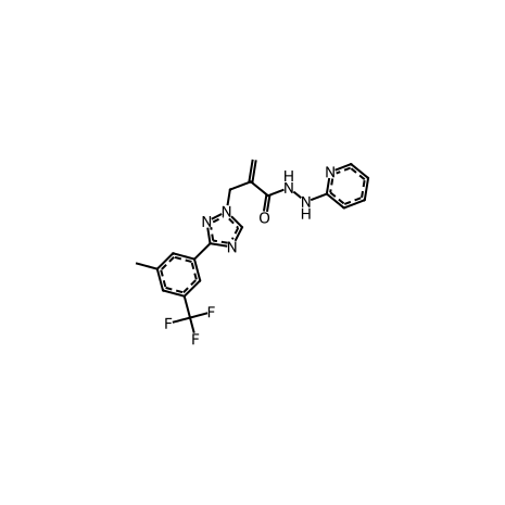 C=C(Cn1cnc(-c2cc(C)cc(C(F)(F)F)c2)n1)C(=O)NNc1ccccn1